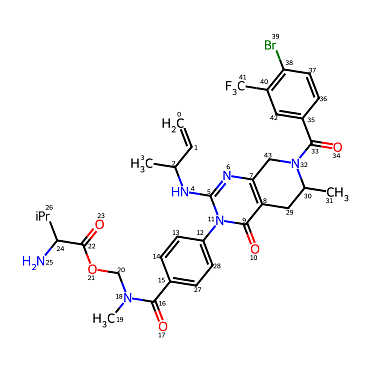 C=CC(C)Nc1nc2c(c(=O)n1-c1ccc(C(=O)N(C)COC(=O)C(N)C(C)C)cc1)CC(C)N(C(=O)c1ccc(Br)c(C(F)(F)F)c1)C2